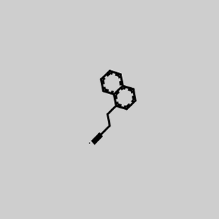 [C]#CCCc1cccc2ccccc12